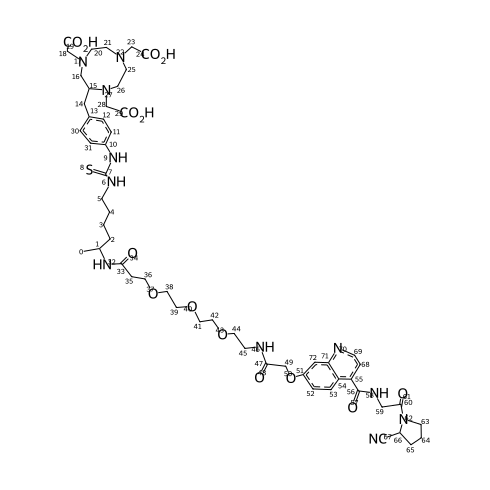 CC(CCCCNC(=S)Nc1ccc(CC2CN(CC(=O)O)CCN(CC(=O)O)CCN2CC(=O)O)cc1)NC(=O)CCOCCOCCOCCNC(=O)COc1ccc2c(C(=O)NCC(=O)N3CCCC3C#N)ccnc2c1